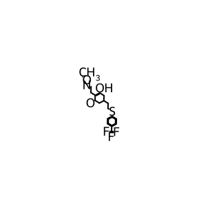 CCON=CCC1=C(O)CC(CCSc2ccc(C(F)(F)F)cc2)CC1=O